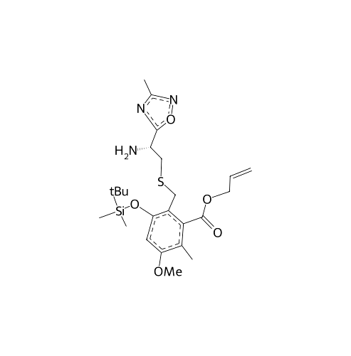 C=CCOC(=O)c1c(C)c(OC)cc(O[Si](C)(C)C(C)(C)C)c1CSC[C@H](N)c1nc(C)no1